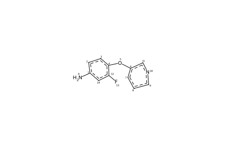 Nc1ccc(Oc2cccnc2)c(F)c1